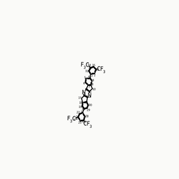 FC(F)(F)c1cc(-c2ccc3c(c2)Cc2nc4c(nc2-3)Cc2cc(-c3cc(C(F)(F)F)cc(C(F)(F)F)c3)ccc2-4)cc(C(F)(F)F)c1